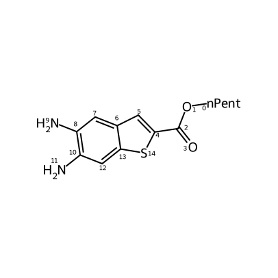 CCCCCOC(=O)c1cc2cc(N)c(N)cc2s1